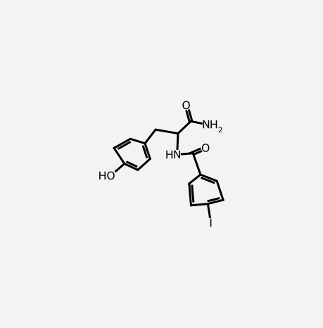 NC(=O)C(Cc1ccc(O)cc1)NC(=O)c1ccc(I)cc1